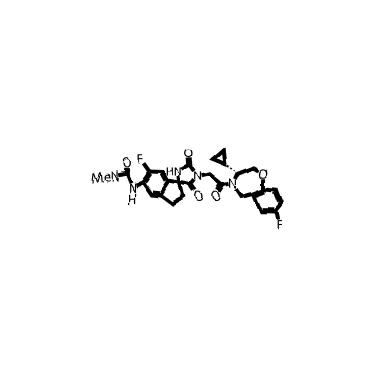 CNC(=O)Nc1cc2c(cc1F)C1(CC2)NC(=O)N(CC(=O)N2Cc3cc(F)ccc3OC[C@H]2C2CC2)C1=O